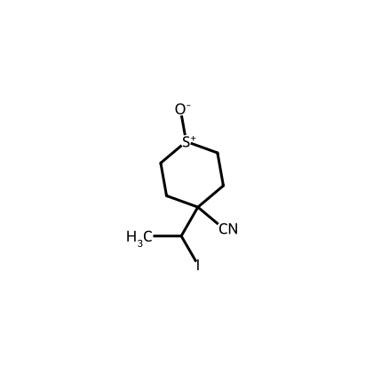 CC(I)C1(C#N)CC[S+]([O-])CC1